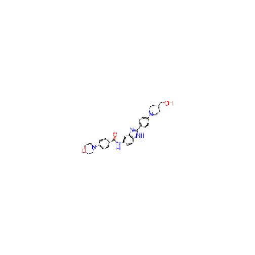 O=C(Nc1ccc2[nH]c(-c3ccc(N4CCC(CO)CC4)cc3)nc2c1)c1ccc(N2CCOCC2)cc1